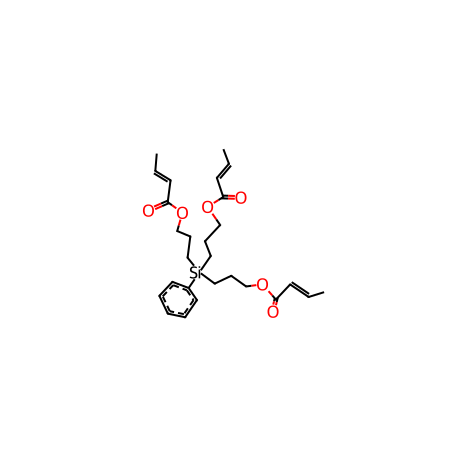 CC=CC(=O)OCCC[Si](CCCOC(=O)C=CC)(CCCOC(=O)C=CC)c1ccccc1